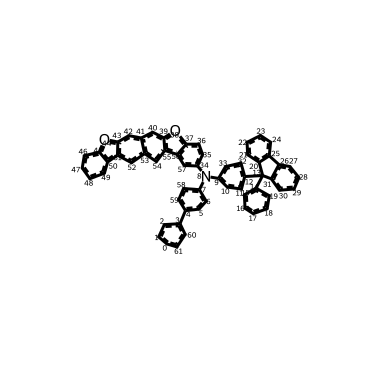 c1ccc(-c2ccc(N(c3ccc(C4(c5ccccc5)c5ccccc5-c5ccccc54)cc3)c3ccc4oc5cc6cc7oc8ccccc8c7cc6cc5c4c3)cc2)cc1